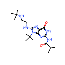 CC(C)C(=O)Nc1nc2c(nc(NCCNC(C)(C)C)n2C(C)(C)C)c(=O)[nH]1